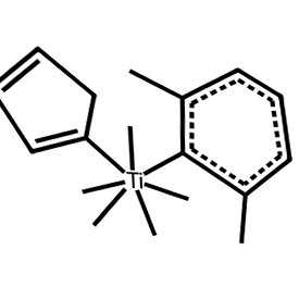 Cc1cccc(C)[c]1[Ti]([CH3])([CH3])([CH3])([CH3])([CH3])[C]1=CC=CC1